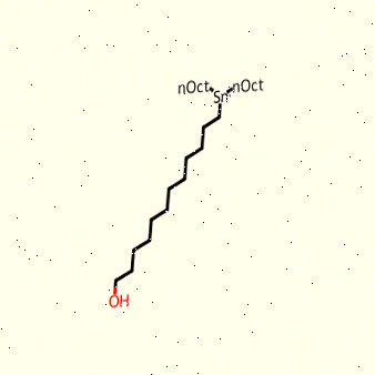 CCCCCCC[CH2][Sn]([CH2]CCCCCCC)[CH2]CCCCCCCCCCCO